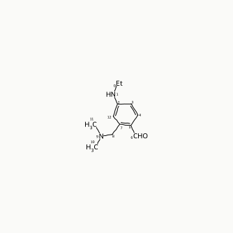 CCNc1ccc(C=O)c(CN(C)C)c1